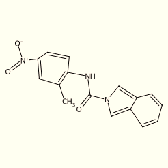 Cc1cc([N+](=O)[O-])ccc1NC(=O)n1cc2ccccc2c1